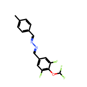 Cc1ccc(C=NN=Cc2cc(F)c(OC(F)F)c(F)c2)cc1